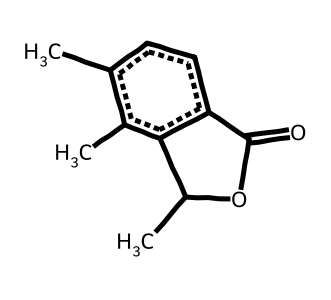 Cc1ccc2c(c1C)C(C)OC2=O